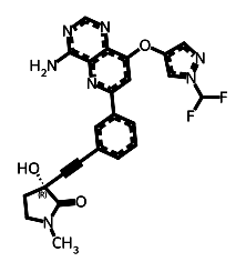 CN1CC[C@@](O)(C#Cc2cccc(-c3cc(Oc4cnn(C(F)F)c4)c4ncnc(N)c4n3)c2)C1=O